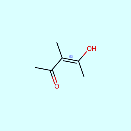 CC(=O)/C(C)=C(\C)O